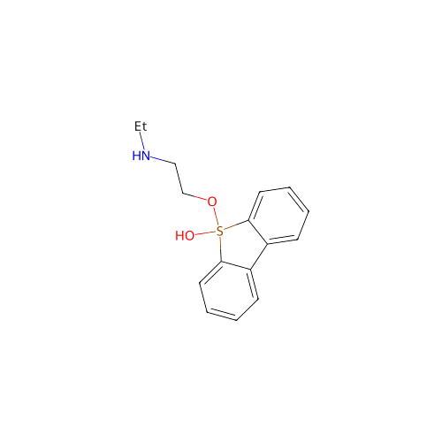 CCNCCOS1(O)c2ccccc2-c2ccccc21